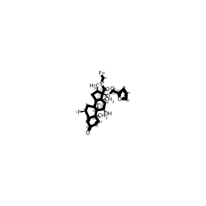 C[C@@H]1CC2C3C[C@H](F)C4=CC(=O)C=C[C@]4(C)[C@@]3(F)[C@@H](O)C[C@]2(C)[C@@]1(OC(=O)c1ccco1)C(=O)SCF